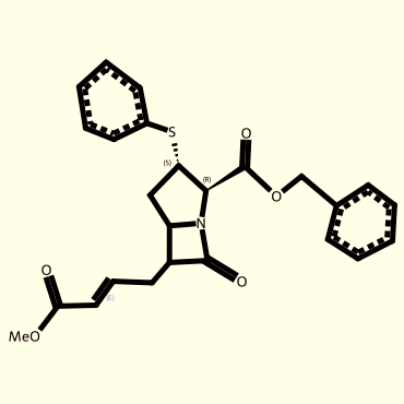 COC(=O)/C=C/CC1C(=O)N2C1C[C@H](Sc1ccccc1)[C@H]2C(=O)OCc1ccccc1